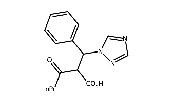 CCCC(=O)C(C(=O)O)C(c1ccccc1)n1cncn1